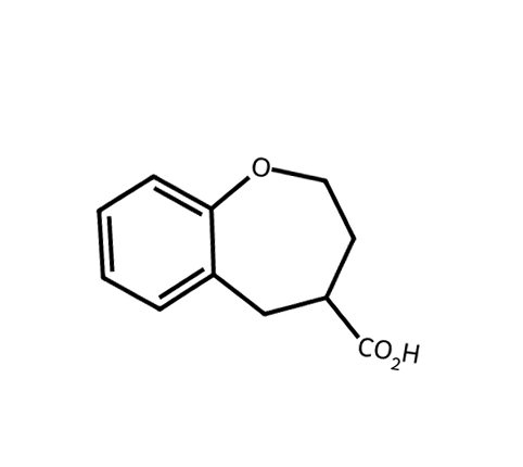 O=C(O)C1CCOc2ccccc2C1